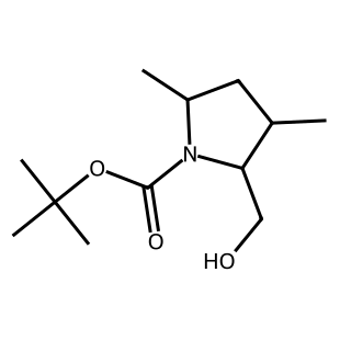 CC1CC(C)N(C(=O)OC(C)(C)C)C1CO